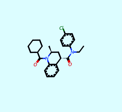 CCN(C(=O)[C@H]1C[C@H](C)N(C(=O)C2CCCCC2)c2ccccc21)c1ccc(Cl)cc1